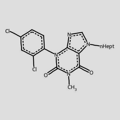 CCCCCCCn1cnc2c1c(=O)n(C)c(=O)n2-c1ccc(Cl)cc1Cl